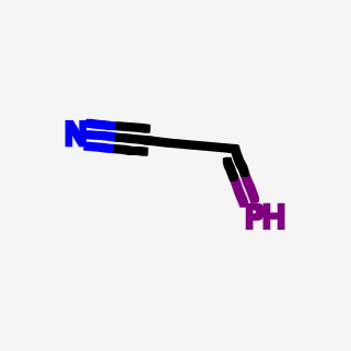 N#CC=P